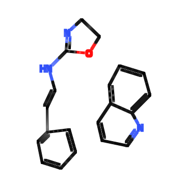 C(=Cc1ccccc1)NC1=NCCO1.c1ccc2ncccc2c1